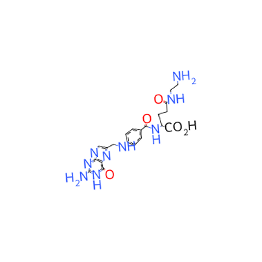 NCCNC(=O)CCC(NC(=O)c1ccc(NCc2cnc3nc(N)[nH]c(=O)c3n2)cc1)C(=O)O